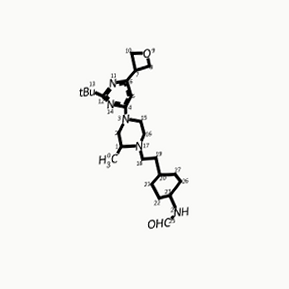 CC1CN(c2cc(C3COC3)nc(C(C)(C)C)n2)CCN1CCC1CCC(NC=O)CC1